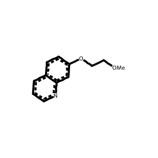 COCCOc1ccc2cccnc2c1